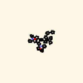 c1ccc(-c2cccc(-c3cccc(C4(c5cccc(-c6ccc(-c7ccc(-c8ccccc8-n8c9ccccc9c9cc(-c%10ccc%11c(c%10)c%10ccccc%10n%11-c%10ccccc%10-c%10ccccc%10)ccc98)cc7)cc6)c5)c5ccccc5-c5ccccc54)c3)c2)cc1